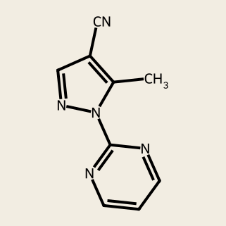 Cc1c(C#N)cnn1-c1ncccn1